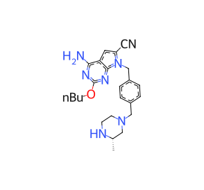 CCCCOc1nc(N)c2cc(C#N)n(Cc3ccc(CN4CCN[C@@H](C)C4)cc3)c2n1